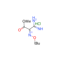 COC(=O)/C(=N/OC(C)(C)C)C(=N)N.Cl